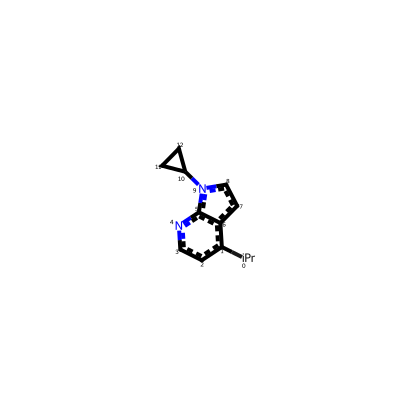 CC(C)c1ccnc2c1ccn2C1CC1